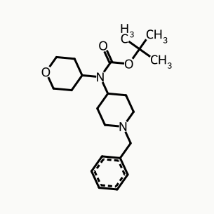 CC(C)(C)OC(=O)N(C1CCOCC1)C1CCN(Cc2ccccc2)CC1